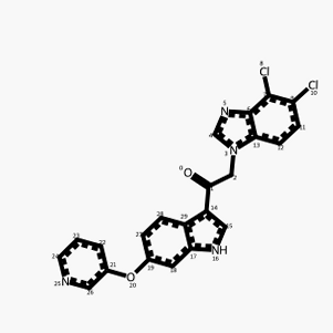 O=C(Cn1cnc2c(Cl)c(Cl)ccc21)c1c[nH]c2cc(Oc3cccnc3)ccc12